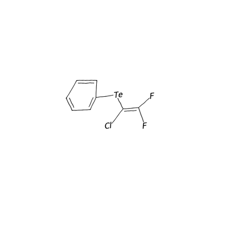 FC(F)=C(Cl)[Te]c1ccccc1